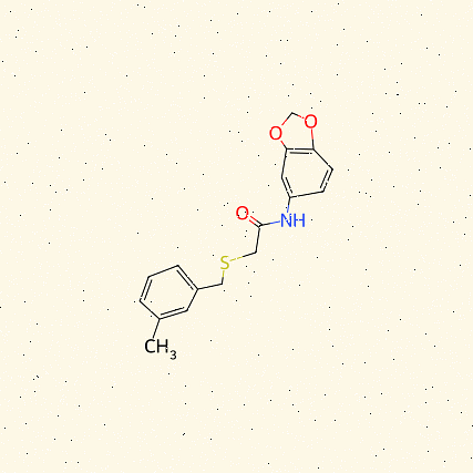 Cc1cccc(CSCC(=O)Nc2ccc3c(c2)OCO3)c1